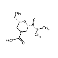 CN(C)C(=O)[C@@H]1CN(C(=O)O)C[C@H](CO)O1